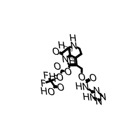 O=C(O)C(F)(F)F.O=C(O)OC1=C(COC(=O)Nc2nnn[nH]2)C2CCN[C@@H]3C(=O)N1[C@H]23